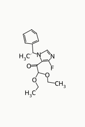 CCOC(OCC)C(=O)c1c(F)ncn1[C@H](C)c1ccccc1